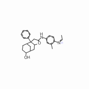 C/C=N\c1ccc(NC(=O)CC2(c3ccccc3)C(C)CC3CC2CCC3O)cc1C